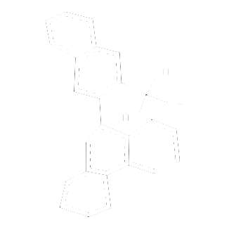 CC(C)(O)c1cc2ccccc2cc1-c1cc2ccccc2c2ccccc12